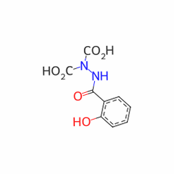 O=C(NN(C(=O)O)C(=O)O)c1ccccc1O